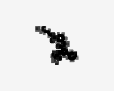 CCCCOC(=O)N1CCC[C@H](NC(=O)c2sc(-c3cccnc3)cc2NC(N)=O)C1